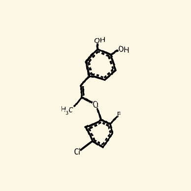 C/C(=C/c1ccc(O)c(O)c1)Oc1cc(Cl)ccc1F